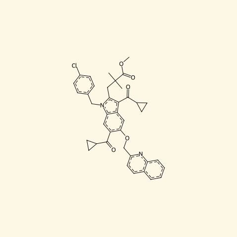 COC(=O)C(C)(C)Cc1c(C(=O)C2CC2)c2cc(OCc3ccc4ccccc4n3)c(C(=O)C3CC3)cc2n1Cc1ccc(Cl)cc1